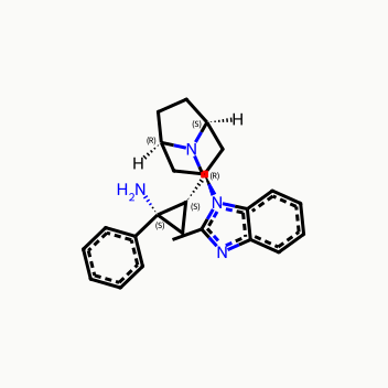 Cc1nc2ccccc2n1[C@H]1C[C@H]2CC[C@@H](C1)N2C[C@@H]1C[C@@]1(N)c1ccccc1